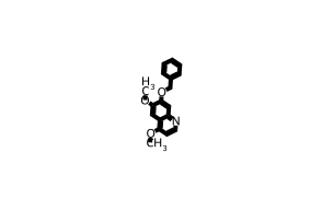 COc1cc2c(OC)ccnc2cc1OCc1ccccc1